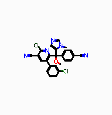 COC(c1ccc(C#N)cc1)(c1nc(Cl)c(C#N)cc1-c1cccc(Cl)c1)c1cncn1C